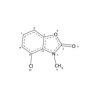 Cn1c(=O)oc2cccc(Cl)c21